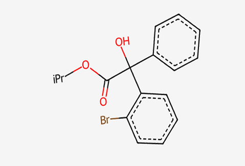 CC(C)OC(=O)C(O)(c1ccccc1)c1ccccc1Br